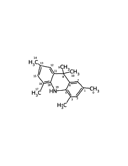 Cc1cc(C)c2c(c1)C(C)(C)c1cc(C)cc(C)c1N2